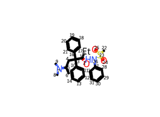 CCC(=O)C(CC(C)N(C)C)(c1ccccc1)c1ccccc1.CS(=O)(=O)Nc1ccccc1